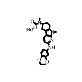 CN(C(=O)OC(C)(C)C)C1CCc2c(c3ccc(Nc4ccc5c(c4)OCCO5)nc3n2C)C1